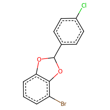 Clc1ccc(C2Oc3cccc(Br)c3O2)cc1